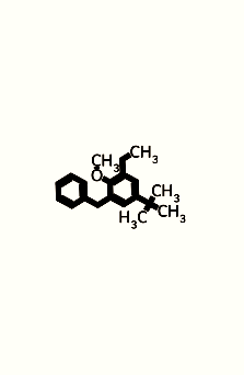 CCc1cc(C(C)(C)C)cc(Cc2ccccc2)c1OC